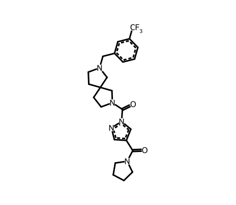 O=C(c1cnn(C(=O)N2CCC3(CCN(Cc4cccc(C(F)(F)F)c4)C3)C2)c1)N1CCCC1